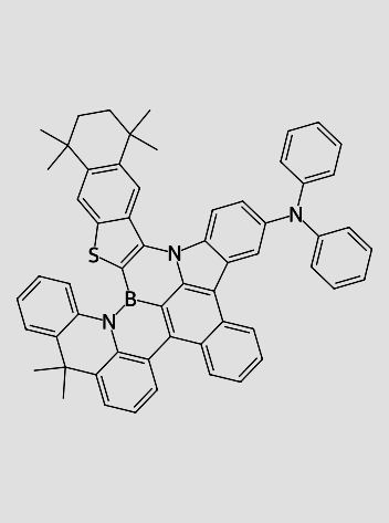 CC1(C)CCC(C)(C)c2cc3c4c(sc3cc21)B1c2c(c3ccccc3c3c5cc(N(c6ccccc6)c6ccccc6)ccc5n-4c23)-c2cccc3c2N1c1ccccc1C3(C)C